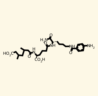 CC(CC(=O)O)CC(C)CC(=O)N[C@@H](CCCC(=O)N[C@@H](CCCCNC(=O)c1ccc(N)cc1)C(N)=O)C(=O)O